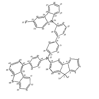 CC1(C)c2ccccc2-c2cc(N(c3ccc(-c4cccc(-n5c6ccccc6c6cc(F)ccc65)c4)cc3)c3ccc(-c4cccc5sc6ccccc6c45)cc3)ccc21